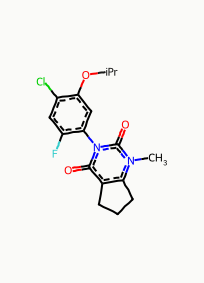 CC(C)Oc1cc(-n2c(=O)c3c(n(C)c2=O)CCC3)c(F)cc1Cl